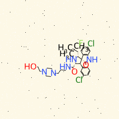 CC(C)(C)C[C@H]1N[C@@H](C(=O)NCCCN2CCN(CCO)CC2)[C@H](c2cccc(Cl)c2)[C@@]12C(=O)Nc1cc(Cl)c(F)cc12